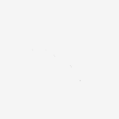 CCCCC(C)N1CCN(C(=O)OC(C)(C)C)CC1